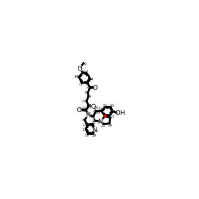 COc1ccc(C(=O)CCCCC(=O)N(Cc2cccnc2)[C@H](CN2CCCC2)[C@H](O)c2ccc(O)cc2)cc1